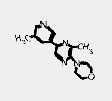 Cc1cncc(-c2cnc(N3CCOCC3)c(C)n2)c1